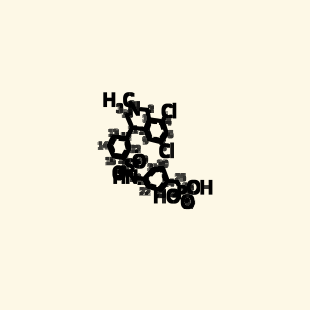 CN1Cc2c(Cl)cc(Cl)cc2C(c2cccc(S(=O)(=O)Nc3ccc(CP(=O)(O)O)cc3)c2)C1